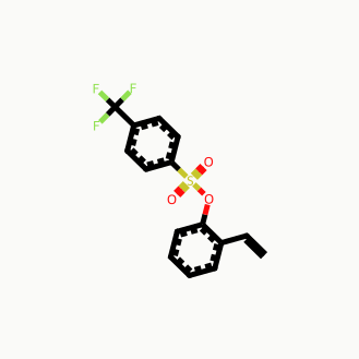 C=Cc1ccccc1OS(=O)(=O)c1ccc(C(F)(F)F)cc1